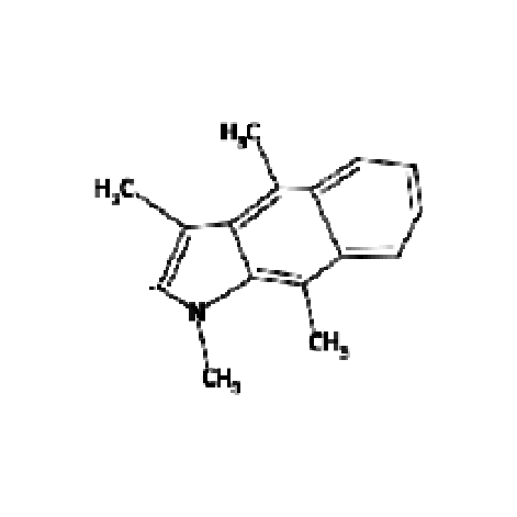 Cc1[c]n(C)c2c(C)c3ccccc3c(C)c12